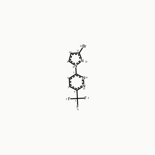 FC(F)(F)c1ccc(-n2ccc(Br)n2)nn1